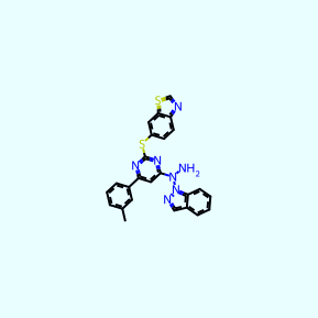 Cc1cccc(-c2cc(N(N)n3ncc4ccccc43)nc(Sc3ccc4ncsc4c3)n2)c1